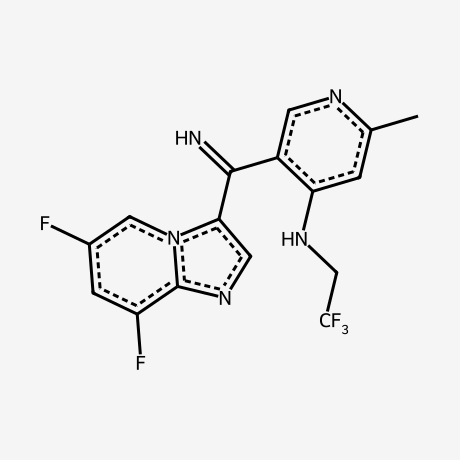 Cc1cc(NCC(F)(F)F)c(C(=N)c2cnc3c(F)cc(F)cn23)cn1